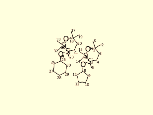 CC1(C)CC[Si](C)(OC2CCCC2)[Si](C)(C)O1.CC1(C)CC[Si](C)(OC2CCCCC2)[Si](C)(C)O1